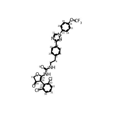 O=C(NCCc1ccc(-c2ncn(-c3ccc(OC(F)(F)F)cc3)n2)cc1)NC1=C(c2c(Cl)cccc2Cl)C(=O)CO1